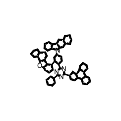 c1ccc(-c2nc(-c3ccc4c5ccccc5c5ccccc5c4c3)nc(-c3ccc(-n4c5ccccc5c5cc6ccccc6cc54)cc3-c3cccc4oc5c6ccccc6ccc5c34)n2)cc1